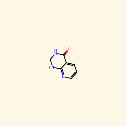 O=C1NCNc2ncccc21